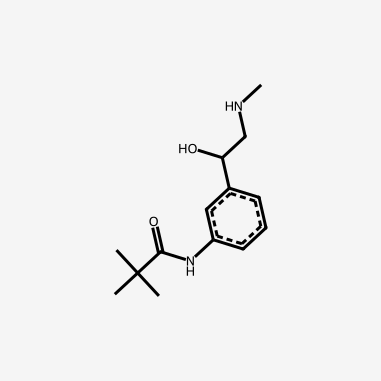 CNCC(O)c1cccc(NC(=O)C(C)(C)C)c1